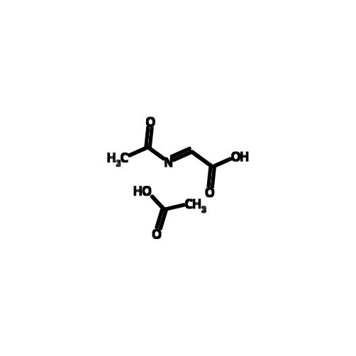 CC(=O)N=CC(=O)O.CC(=O)O